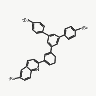 CC(C)(C)c1ccc(-c2cc(C3=CC(c4ccc5cc(C(C)(C)C)ccc5n4)=CCC3)cc(-c3ccc(C(C)(C)C)cc3)c2)cc1